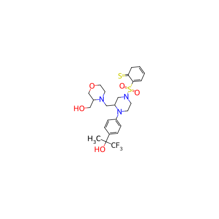 CC(O)(c1ccc(N2CCN(S(=O)(=O)C3=CC=CCC3=S)CC2CN2CCOCC2CO)cc1)C(F)(F)F